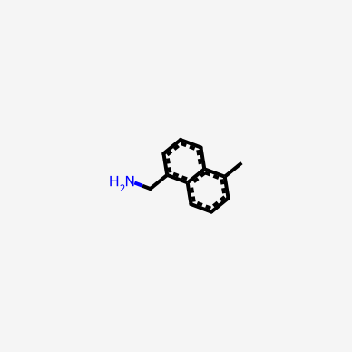 Cc1cccc2c(CN)cccc12